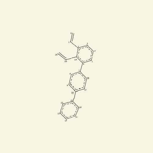 C=Cc1cccc(-c2ccc(-c3ccccc3)cc2)c1C=C